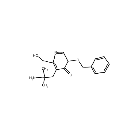 CC(C)(N)CC1=C(CO)N=CC(OCc2ccccc2)C1=O